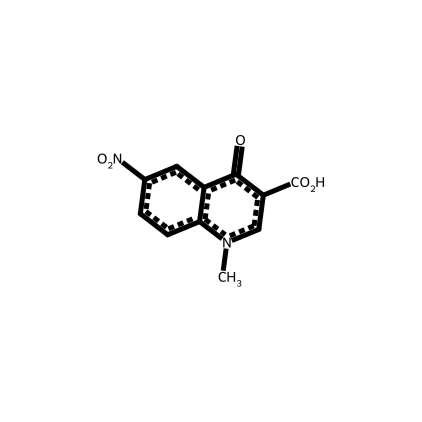 Cn1cc(C(=O)O)c(=O)c2cc([N+](=O)[O-])ccc21